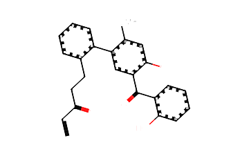 C=CC(=O)CCc1ccccc1-c1cc(C(=O)c2ccccc2O)c(O)cc1OC